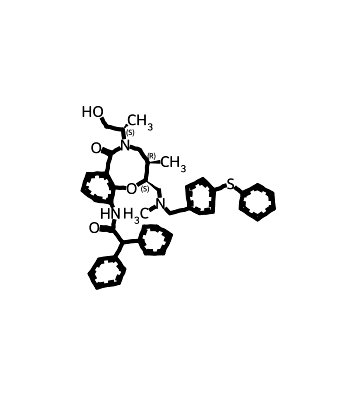 C[C@@H]1CN([C@@H](C)CO)C(=O)c2cccc(NC(=O)C(c3ccccc3)c3ccccc3)c2O[C@@H]1CN(C)Cc1ccc(Sc2ccccc2)cc1